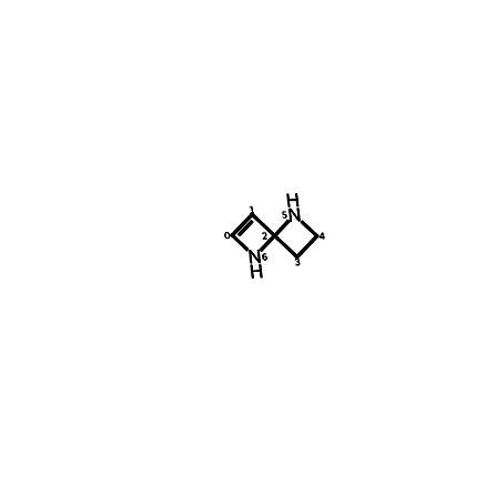 C1=CC2(CCN2)N1